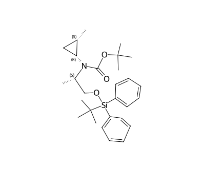 C[C@H]1C[C@H]1N(C(=O)OC(C)(C)C)[C@@H](C)CO[Si](c1ccccc1)(c1ccccc1)C(C)(C)C